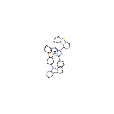 c1ccc(-c2nc(-c3ccccc3)nc(-c3cccc4sc5cccc(-c6ccc7c(c6)sc6ccc(-n8c9ccccc9c9ccccc98)cc67)c5c34)n2)cc1